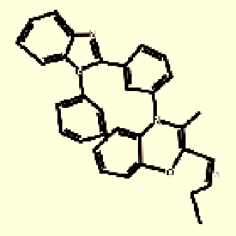 CC/C=C\C1=C(C)N(c2cccc(-c3nc4ccccc4n3-c3ccccc3)c2)c2ccccc2O1